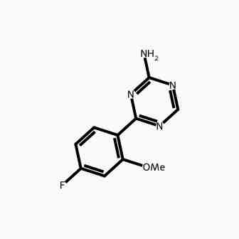 COc1cc(F)ccc1-c1ncnc(N)n1